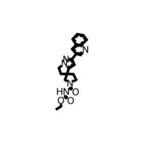 CCOC(=O)NC(=O)N1CCC2(CCn3nc(-c4cnc5ccccc5c4)cc32)C1